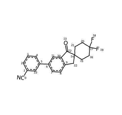 N#Cc1cccc(-c2ccc3c(c2)C(=O)C2(CCC(F)(F)CC2)C3)c1